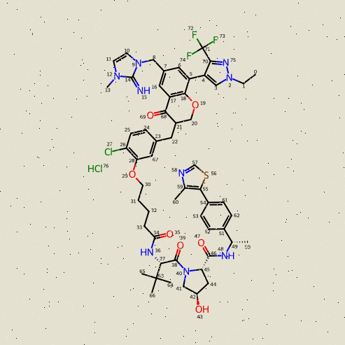 CCn1cc(-c2cc(Cn3ccn(C)c3=N)cc3c2OCC(Cc2ccc(Cl)c(OCCCCC(=O)N[C@H](C(=O)N4C[C@H](O)C[C@H]4C(=O)N[C@@H](C)c4ccc(-c5scnc5C)cc4)C(C)(C)C)c2)C3=O)c(C(F)(F)F)n1.Cl